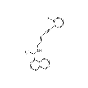 C[C@@H](NC/C=C/C#Cc1ccccc1F)c1cccc2ccccc12